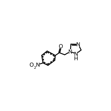 O=C(CN1C=NCN1)c1ccc([N+](=O)[O-])cc1